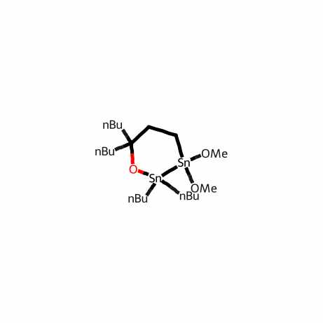 CCCCC1(CCCC)C[CH2][Sn]([O]C)([O]C)[Sn]([CH2]CCC)([CH2]CCC)[O]1